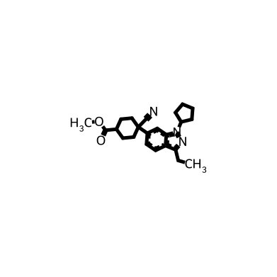 CCc1nn(C2CCCC2)c2cc(C3(C#N)CCC(C(=O)OC)CC3)ccc12